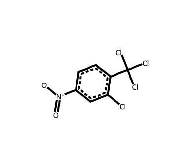 O=[N+]([O-])c1ccc(C(Cl)(Cl)Cl)c(Cl)c1